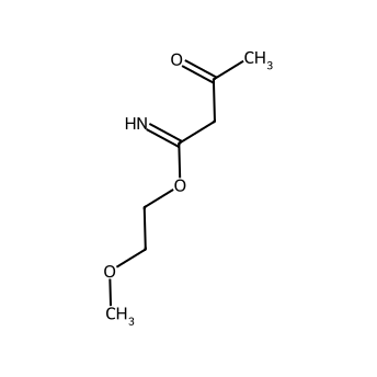 COCCOC(=N)CC(C)=O